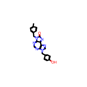 Cc1ccc(Cn2c3ncnc4c(ncn4Cc4ccc(O)cc4)c-3nc2=O)cc1